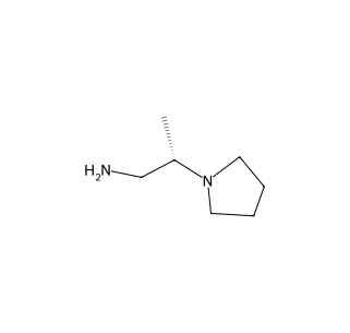 C[C@@H](CN)N1CCCC1